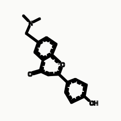 CN(C)Cc1ccc2oc(-c3ccc(O)cc3)cc(=O)c2c1